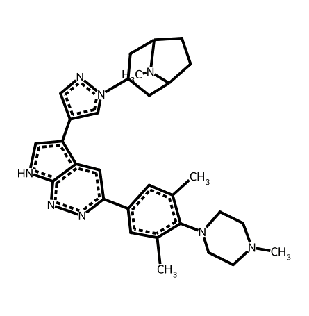 Cc1cc(-c2cc3c(-c4cnn(C5CC6CCC(C5)N6C)c4)c[nH]c3nn2)cc(C)c1N1CCN(C)CC1